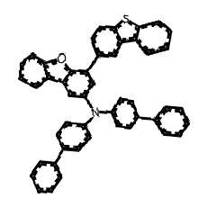 c1ccc(-c2ccc(N(c3ccc(-c4ccccc4)cc3)c3cc(-c4ccc5sc6ccccc6c5c4)c4oc5ccccc5c4c3)cc2)cc1